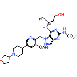 CCC[C@@H](CCO)Nc1nc(NC(=O)O)nc2cnn(Cc3ncc(C4CCN(C5CCOC5)CC4)cc3OC)c12